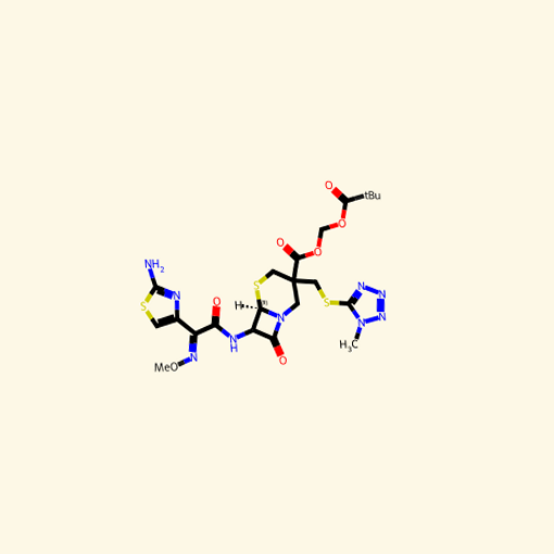 CON=C(C(=O)NC1C(=O)N2CC(CSc3nnnn3C)(C(=O)OCOC(=O)C(C)(C)C)CS[C@H]12)c1csc(N)n1